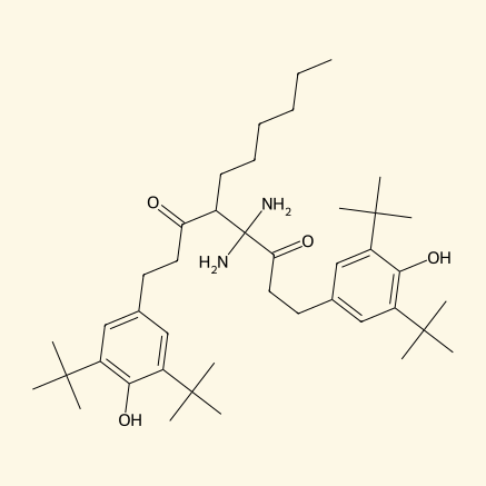 CCCCCCC(C(=O)CCc1cc(C(C)(C)C)c(O)c(C(C)(C)C)c1)C(N)(N)C(=O)CCc1cc(C(C)(C)C)c(O)c(C(C)(C)C)c1